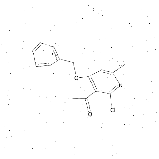 CC(=O)c1c(OCc2ccccc2)cc(C)nc1Cl